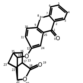 O=C1c2ccccc2[I+]c2ccc(OC3C4CC5C(=O)OC3C5C4)cc21